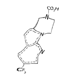 O=C(O)N1CCn2c(cc3cc(C(F)(F)F)cnc32)C1